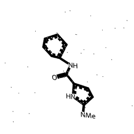 CNc1ccc(C(=O)Nc2ccccc2)[nH]1